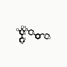 Cn1c(OC2CCN(c3cccc(CN4CCOCC4)c3)CC2)nc(-c2ccncn2)cc1=O